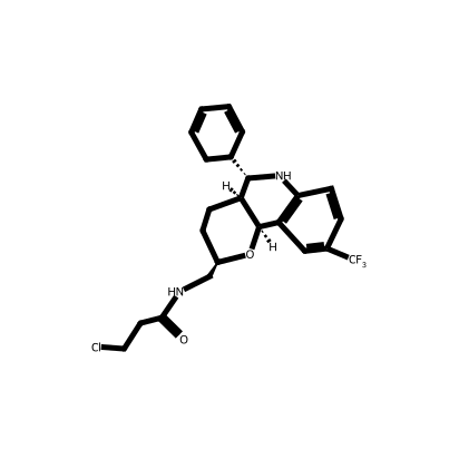 O=C(CCCl)NC[C@H]1CC[C@@H]2[C@H](O1)c1cc(C(F)(F)F)ccc1N[C@H]2C1C=CC=CC1